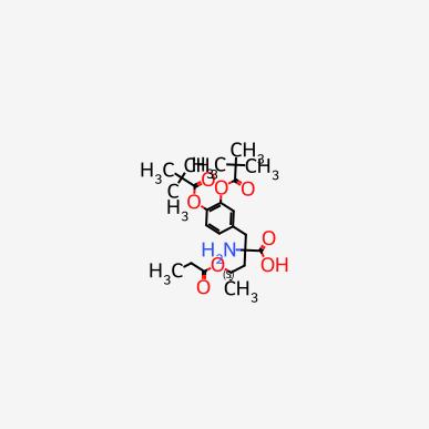 CCC(=O)O[C@@H](C)CC(N)(Cc1ccc(OC(=O)C(C)(C)C)c(OC(=O)C(C)(C)C)c1)C(=O)O